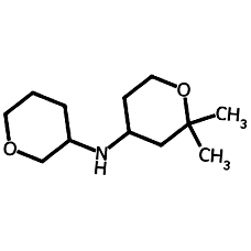 CC1(C)CC(NC2CCCOC2)CCO1